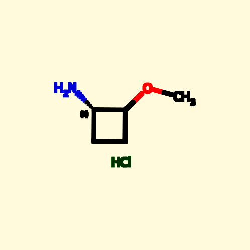 COC1CC[C@@H]1N.Cl